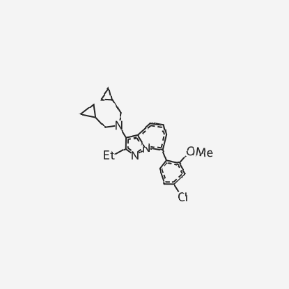 CCc1nn2c(-c3ccc(Cl)cc3OC)cccc2c1N(CC1CC1)CC1CC1